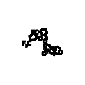 CC12COCCN1c1cc(OCc3cccc(C#N)c3Oc3cccc(C(F)(F)F)c3)nc(=O)n1C2